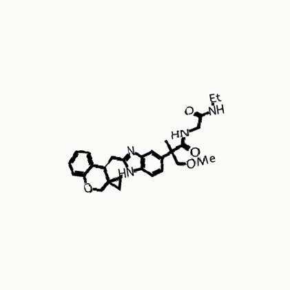 CCNC(=O)CNC(=O)C(C)(COC)c1ccc2[nH]c(C[C@@H]3c4ccccc4OCC34CC4)nc2c1